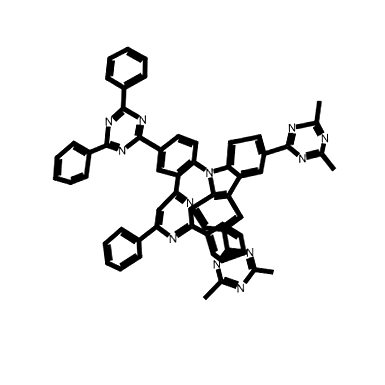 Cc1nc(C)nc(-c2ccc3c(c2)c2cc(-c4nc(C)nc(C)n4)ccc2n3-c2ccc(-c3nc(-c4ccccc4)nc(-c4ccccc4)n3)cc2-c2cc(-c3ccccc3)nc(-c3ccccc3)n2)n1